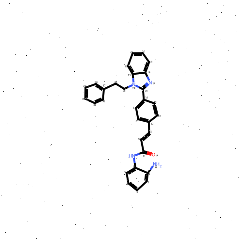 Nc1ccccc1NC(=O)C=Cc1ccc(-c2nc3ccccc3n2CCc2ccccc2)cc1